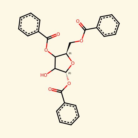 O=C(OC[C@H]1O[C@H](OC(=O)c2ccccc2)C(O)C1OC(=O)c1ccccc1)c1ccccc1